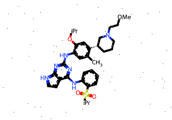 COCCN1CCC[C@H](c2cc(OC(C)C)c(Nc3nc(Nc4ccccc4S(=O)(=O)C(C)C)c4cc[nH]c4n3)cc2C)C1